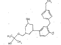 CCc1ccc(Cc2cc(C3CC(O)CC(COC(C)(C)O)C3)ccc2Cl)cc1